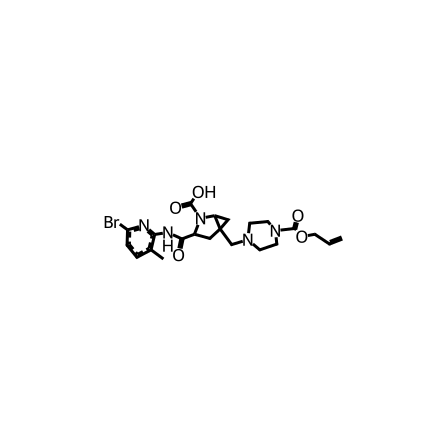 C=CCOC(=O)N1CCN(CC23CC(C(=O)Nc4nc(Br)ccc4C)N(C(=O)O)C2C3)CC1